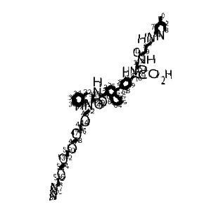 Cc1ccnc(NCCCC(=O)NCC(=O)N[C@@H](CC(=O)O)c2ccc(-c3ccc(C(=O)N[C@@H](Cc4ccccc4)C(=O)NCCOCCOCCOCCOCCOCCN=[N+]=[N-])c4ccccc34)cc2)c1